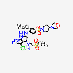 COc1cc(S(=O)(=O)N2CCC(N3CCOCC3)CC2)ccc1Nc1cc(NCCS(C)(=O)=O)c2c(Cl)c[nH]c2n1